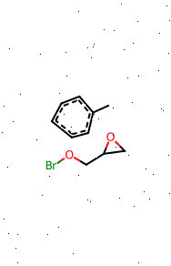 BrOCC1CO1.Cc1ccccc1